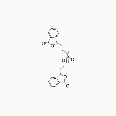 O=C1OC(CCO[PH](=O)OCCC2OC(=O)c3ccccc32)c2ccccc21